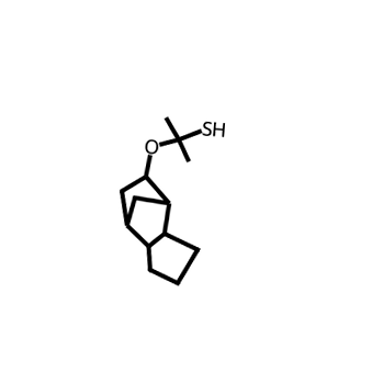 CC(C)(S)OC1CC2CC1C1CCCC21